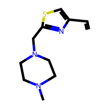 C=Cc1csc(CN2CCN(C)CC2)n1